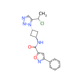 CC(Cl)c1cnnn1[C@H]1C[C@H](NC(=O)c2cc(-c3ccccc3)no2)C1